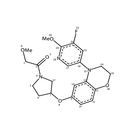 COCC(=O)N1CCC(Oc2ccc3c(c2)N(c2cnc(OC)c(F)c2)CCO3)C1